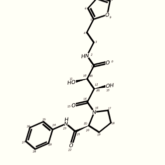 O=C(NCCc1ccco1)[C@H](O)[C@@H](O)C(=O)N1CCC[C@H]1C(=O)Nc1ccccc1